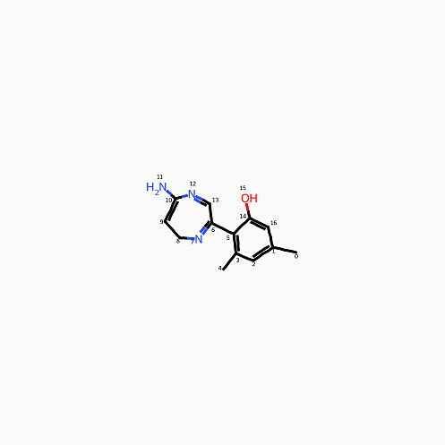 Cc1cc(C)c(C2=NCC=C(N)N=C2)c(O)c1